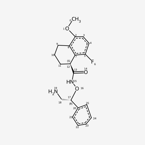 COc1ccc(F)c2c1CCC[C@@H]2C(=O)NO[C@@H](CN)c1ccccc1